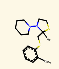 COc1ccccc1SCC1(C(C)=O)SCCN1N1CCCCC1